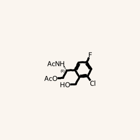 CC(=O)N[C@@H](COC(C)=O)c1cc(F)cc(Cl)c1CO